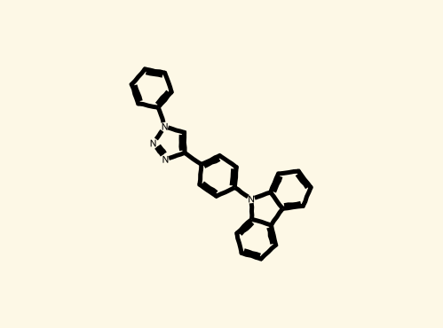 c1ccc(-n2cc(-c3ccc(-n4c5ccccc5c5ccccc54)cc3)nn2)cc1